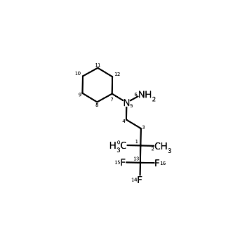 CC(C)(CCN(N)C1CCCCC1)C(F)(F)F